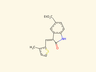 CCOC(=O)c1ccc2c(c1)C(=Cc1sccc1C)C(=O)N2